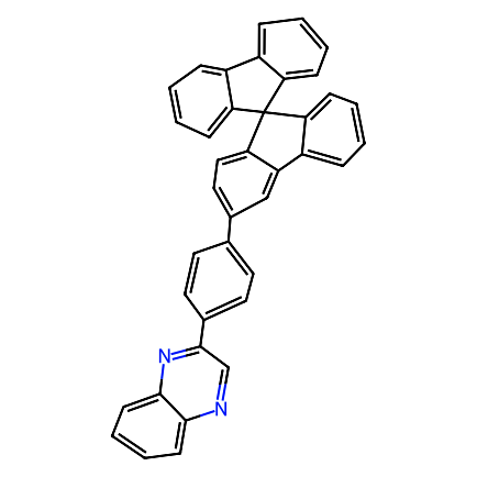 c1ccc2c(c1)-c1ccccc1C21c2ccccc2-c2cc(-c3ccc(-c4cnc5ccccc5n4)cc3)ccc21